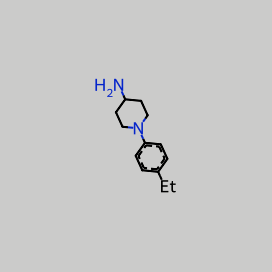 [CH2]Cc1ccc(N2CCC(N)CC2)cc1